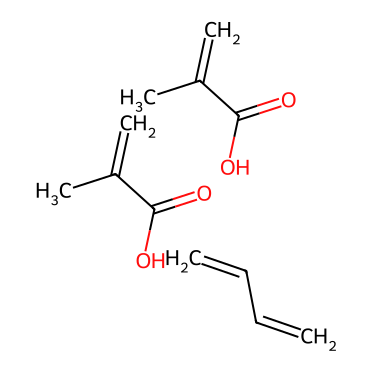 C=C(C)C(=O)O.C=C(C)C(=O)O.C=CC=C